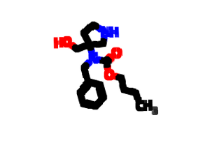 CCCCOC(=O)N(Cc1ccccc1)C1(CO)CCNC1